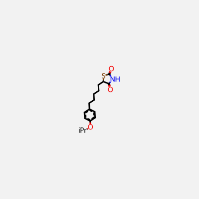 CC(C)Oc1ccc(CCCCCC2SC(=O)NC2=O)cc1